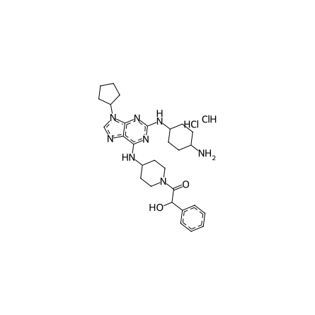 Cl.Cl.NC1CCC(Nc2nc(NC3CCN(C(=O)C(O)c4ccccc4)CC3)c3ncn(C4CCCC4)c3n2)CC1